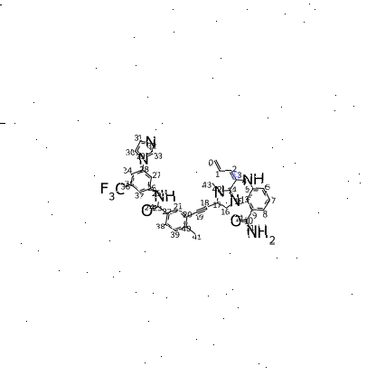 C=C/C=C(/Nc1cccc(C(N)=O)c1)C1=NCC(C#Cc2cc(C(=O)Nc3cc(-n4ccnc4)cc(C(F)(F)F)c3)ccc2C)N1C